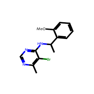 COc1ccccc1C(C)Nc1ncnc(C)c1Br